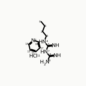 CCCCNC(=N)NC(=N)N.Cl.c1ccncc1